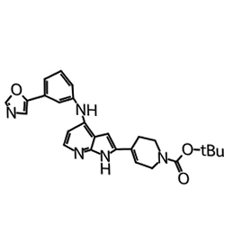 CC(C)(C)OC(=O)N1CC=C(c2cc3c(Nc4cccc(-c5cnco5)c4)ccnc3[nH]2)CC1